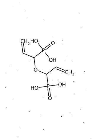 C=CC(OC(C=C)P(=O)(O)O)P(=O)(O)O